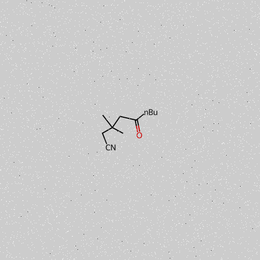 CCCCC(=O)CC(C)(C)CC#N